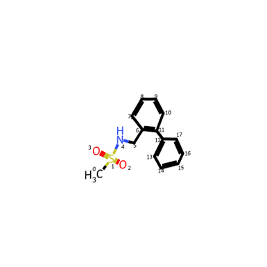 CS(=O)(=O)NCc1[c]cccc1-c1ccccc1